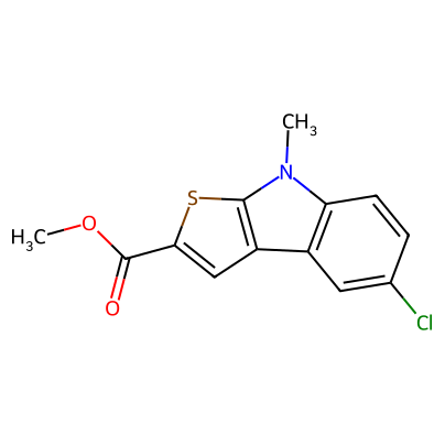 COC(=O)c1cc2c3cc(Cl)ccc3n(C)c2s1